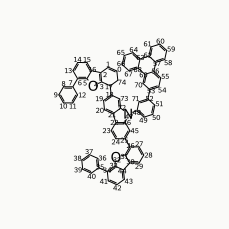 C1=Cc2c(oc3c(-c4ccccc4)cccc23)C(c2ccc3c4ccc(-c5cccc6c5oc5c(-c7ccccc7)cccc56)cc4n(-c4cccc(-c5ccc6c7ccccc7c7ccccc7c6c5)c4)c3c2)C1